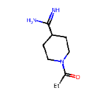 CCC(=O)N1CCC(C(=N)N)CC1